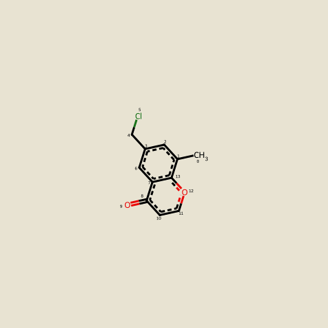 Cc1cc(CCl)cc2c(=O)ccoc12